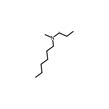 CC[CH]N(C)CCCCCC